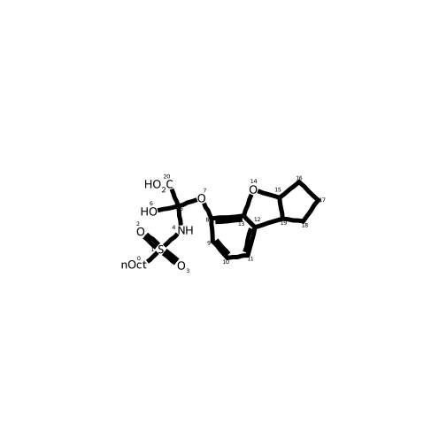 CCCCCCCCS(=O)(=O)NC(O)(Oc1cccc2c1OC1CCCC21)C(=O)O